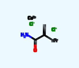 C=C(CCC)C(N)=O.[Ca+2].[Cl-].[Cl-]